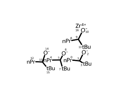 CCCC([O-])C(C)(C)C.CCCC([O-])C(C)(C)C.CCCC([O-])C(C)(C)C.CCCC([O-])C(C)(C)C.[Zr+4]